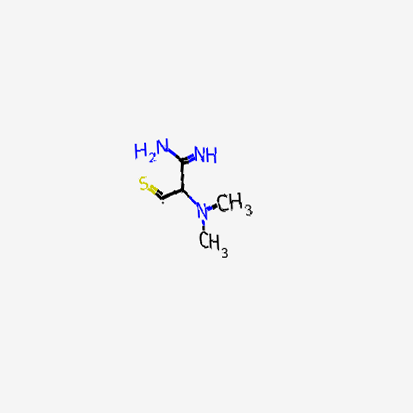 CN(C)C([C]=S)C(=N)N